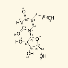 C#CCc1cn([C@H]2O[C@@H](CO)C(O)C2O)c(=O)[nH]c1=O